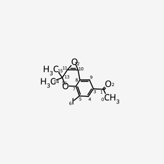 CC(=O)c1cc(I)c2c(c1)C1=C(O1)C(C)(C)O2